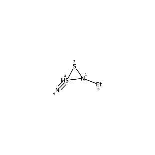 CCN1S[SH]1#N